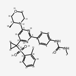 CNC(=O)Nc1ccc(-c2nc(N3CCOC[C@@H]3C)cc(C3(S(=O)(=O)c4ccccc4C)CC3)n2)cc1